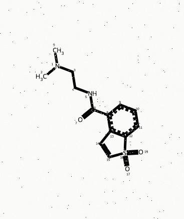 CN(C)CCNC(=O)c1cccc2c1C=CS2(=O)=O